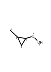 CC1CC1OO